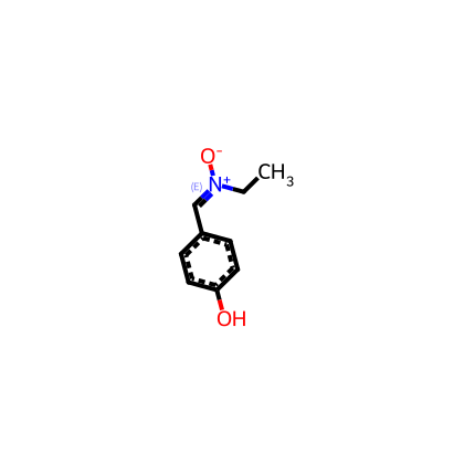 CC/[N+]([O-])=C\c1ccc(O)cc1